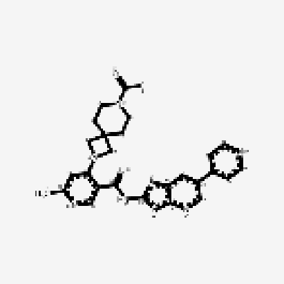 CC(=O)N1CCC2(CC1)CN(c1cc(C)ncc1C(=O)Nc1nc3ncc(-c4ccncc4)cc3s1)C2